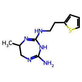 CC1CN=C(N)NC(NCCc2cccs2)=N1